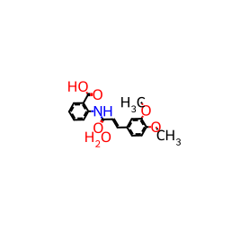 COc1ccc(C=CC(=O)Nc2ccccc2C(=O)O)cc1OC.O